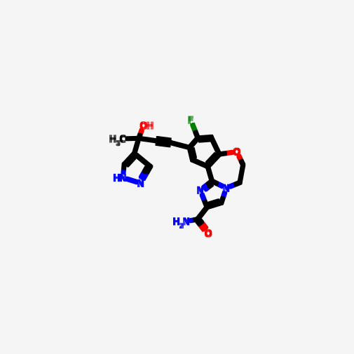 CC(O)(C#Cc1cc2c(cc1F)OCCn1cc(C(N)=O)nc1-2)c1cn[nH]c1